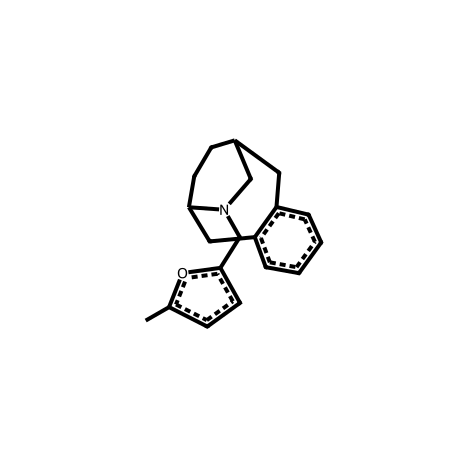 Cc1ccc(CN2CC3CCC2Cc2ccccc2C3)o1